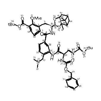 COc1c(C[C@H](NC(=O)c2ccc(CN(C)C)c(NC(=O)C(CNC(=O)OC(C)(C)C)NC(=O)OCc3ccccc3)c2)B2OC3CC4CC(C4(C)C)C3(C)O2)cccc1C(=O)OC(C)(C)C